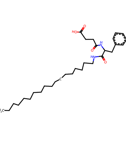 CCCCCCCCCCCCCCCCCCNC(=O)C(Cc1ccccc1)NC(=O)CCC(=O)O